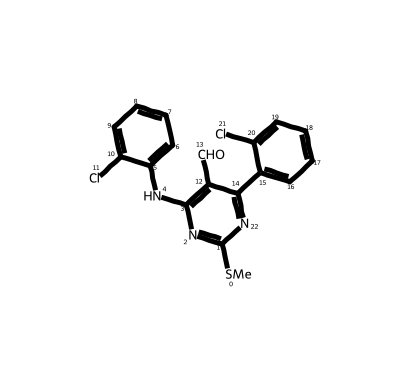 CSc1nc(Nc2ccccc2Cl)c(C=O)c(-c2ccccc2Cl)n1